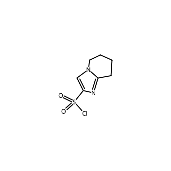 O=S(=O)(Cl)c1cn2c(n1)CCCC2